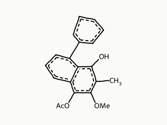 COc1c(C)c(O)c2c(-c3ccccc3)cccc2c1OC(C)=O